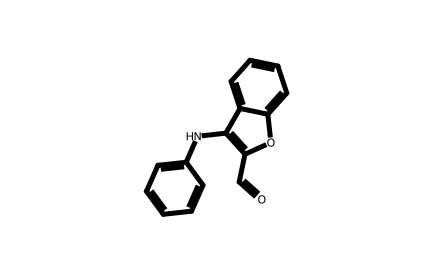 O=Cc1oc2ccccc2c1Nc1ccccc1